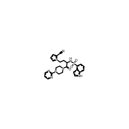 N#Cc1cccn1CCC(NS(=O)(=O)c1cccc2[nH]ccc12)C(=O)N1CCN(c2ncccn2)CC1